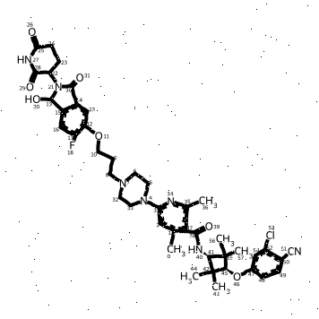 Cc1cc(N2CCN(CCCOc3cc4c(cc3F)C(O)N(C3CCC(=O)NC3=O)C4=O)CC2)nc(C)c1C(=O)N[C@H]1C(C)(C)[C@H](Oc2ccc(C#N)c(Cl)c2)C1(C)C